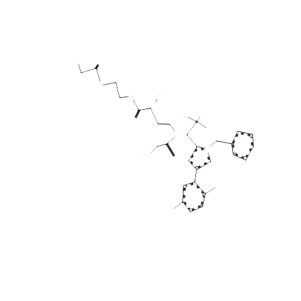 CCC(=O)NCCNC(=O)[C@@H](N)CCN(C(=O)CO)[C@@H](c1cc(-c2cc(F)ccc2F)cn1Cc1ccccc1)C(C)(C)C